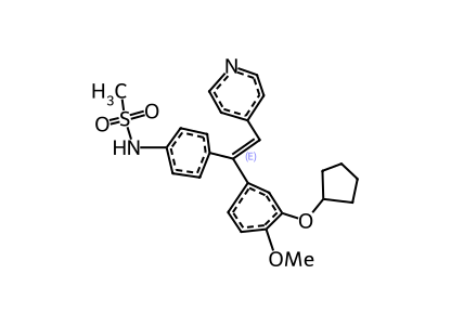 COc1ccc(/C(=C/c2ccncc2)c2ccc(NS(C)(=O)=O)cc2)cc1OC1CCCC1